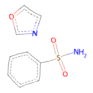 NS(=O)(=O)c1ccccc1.c1cocn1